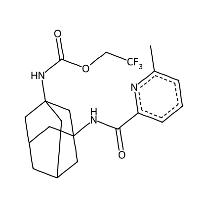 Cc1cccc(C(=O)NC23CC4CC(CC(NC(=O)OCC(F)(F)F)(C4)C2)C3)n1